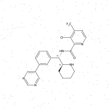 O=C(N[C@@H](c1cccc(-c2cncnc2)c1)[C@@H]1CCCCN1)c1nccc(C(F)(F)F)c1Cl